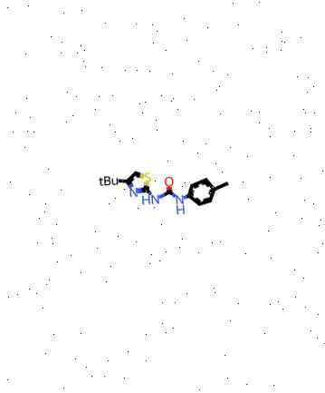 Cc1ccc(NC(=O)Nc2nc(C(C)(C)C)cs2)cc1